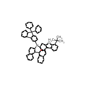 CC(C)(C)c1cccc2c1oc1cc(N(c3ccc4c(c3)-c3ccccc3C4(c3ccccc3)c3ccccc3)c3ccc4ccccc4c3-c3cccc4ccccc34)ccc12